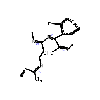 C=N/C(=N\CCC(=N/C)/N=C(\C(C=O)=C/C)c1ccccc1Cl)C(F)(F)F